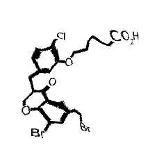 O=C(O)CCCCOc1cc(CC2COc3c(Br)cc(CBr)cc3C2=O)ccc1Cl